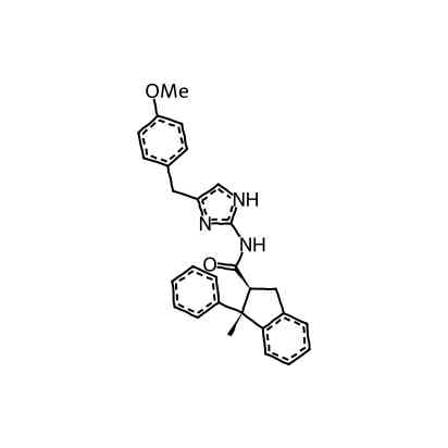 COc1ccc(Cc2c[nH]c(NC(=O)[C@H]3Cc4ccccc4[C@]3(C)c3ccccc3)n2)cc1